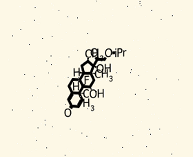 CC(C)OCC(=O)[C@@]1(O)[C@H](C)C[C@H]2[C@@H]3CCC4=CC(=O)C=C[C@]4(C)[C@@]3(F)[C@@H](O)C[C@@]21C